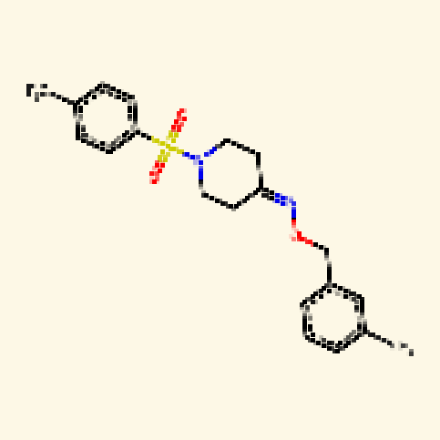 O=S(=O)(c1ccc(C(F)(F)F)cc1)N1CCC(=NOCc2cccc(C(F)(F)F)c2)CC1